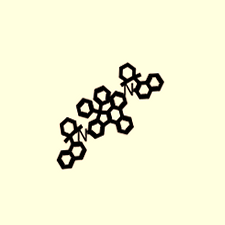 CC12CCCCC1(C)N(c1ccc3c(c1)C(c1ccccc1)(c1ccccc1)c1c-3c3ccccc3c3cc(N4c5ccc6ccccc6c5C5(C)CCCCC45C)ccc13)c1ccc3ccccc3c12